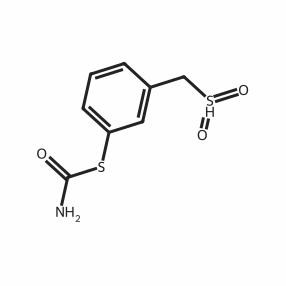 NC(=O)Sc1cccc(C[SH](=O)=O)c1